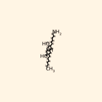 CCCCCCCCCCCCCCCCCCN.OCCNCCO